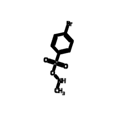 CNOS(=O)(=O)c1ccc(Br)cc1